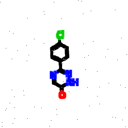 O=c1cnc(-c2ccc(Cl)cc2)n[nH]1